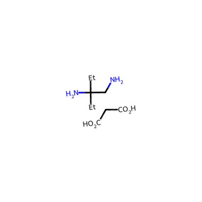 CCC(N)(CC)CN.O=C(O)CC(=O)O